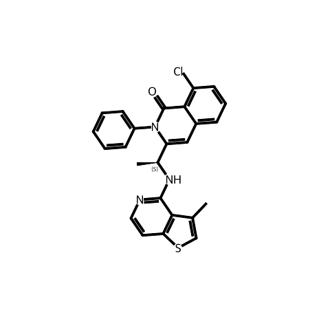 Cc1csc2ccnc(N[C@@H](C)c3cc4cccc(Cl)c4c(=O)n3-c3ccccc3)c12